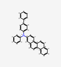 c1ccc(-c2ccc(N(c3ccccc3)c3ccc4c(ccc5c6ccccc6ccc45)c3)cc2)cc1